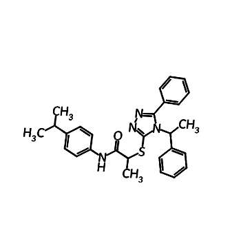 CC(Sc1nnc(-c2ccccc2)n1C(C)c1ccccc1)C(=O)Nc1ccc(C(C)C)cc1